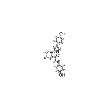 COc1ccc(-c2noc([C@H]3CCCCN3C(=O)COc3ccc(O)cc3)n2)cc1